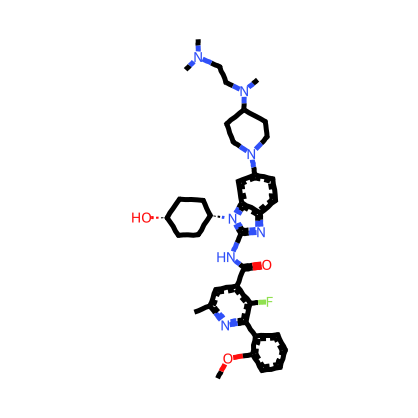 COc1ccccc1-c1nc(C)cc(C(=O)Nc2nc3ccc(N4CCC(N(C)CCN(C)C)CC4)cc3n2[C@H]2CC[C@@H](O)CC2)c1F